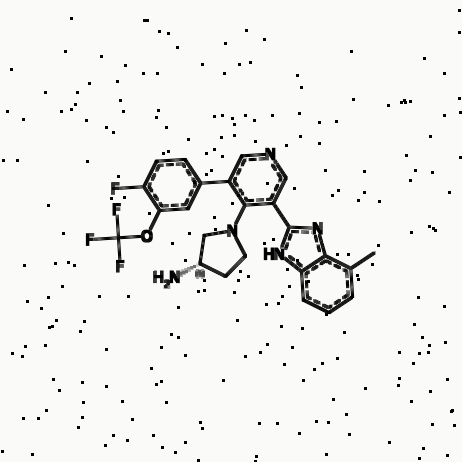 Cc1cccc2[nH]c(-c3cncc(-c4ccc(F)c(OC(F)(F)F)c4)c3N3CC[C@H](N)C3)nc12